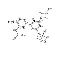 Nc1ncc(-c2cc(N3CC4OC[C@H]43)nc(N3CC(F)C3)n2)cc1OC(F)F